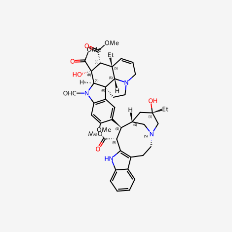 CC[C@]1(O)C[C@@H]2C[N@@](CCc3c([nH]c4ccccc34)[C@H](C(=O)OC)[C@H]2c2cc3c(cc2OC)N(C=O)[C@H]2[C@@](O)(C(=O)OC)[C@H](C(=O)OC)[C@]4(CC)C=CCN5CC[C@]32[C@@H]54)C1